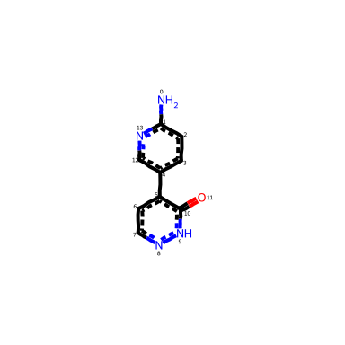 Nc1ccc(-c2ccn[nH]c2=O)cn1